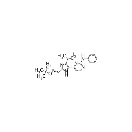 CC(C)c1nc(C=NOC(C)(C)C)[nH]c1-c1ccnc(Nc2ccccc2)n1